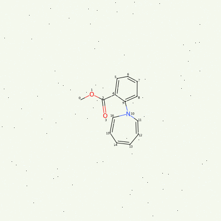 COC(=O)c1ccccc1N1C=CC=CC=C1